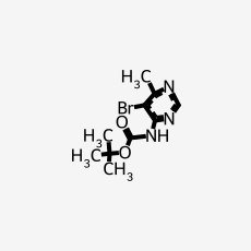 Cc1ncnc(NC(=O)OC(C)(C)C)c1Br